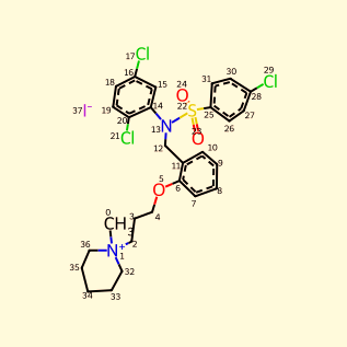 C[N+]1(CCCOc2ccccc2CN(c2cc(Cl)ccc2Cl)S(=O)(=O)c2ccc(Cl)cc2)CCCCC1.[I-]